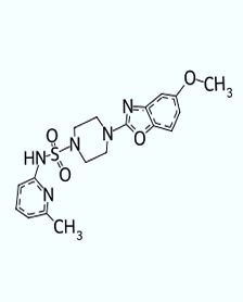 COc1ccc2oc(N3CCN(S(=O)(=O)Nc4cccc(C)n4)CC3)nc2c1